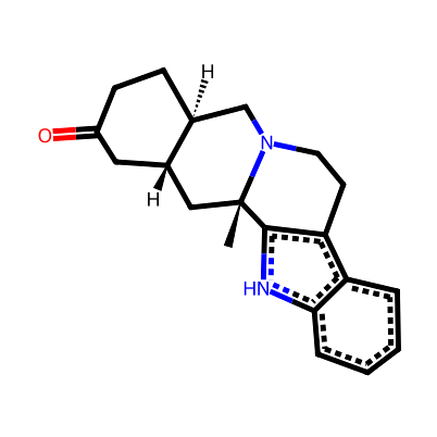 C[C@@]12C[C@@H]3CC(=O)CC[C@H]3CN1CCc1c2[nH]c2ccccc12